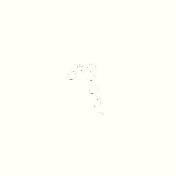 NC(=O)c1ccc(-c2ccc(C(=O)Nc3ccc(O)c(NS(=O)(=O)c4ccc(F)cc4)c3)cc2)cc1O